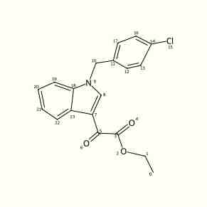 CCOC(=O)C(=O)c1cn(Cc2ccc(Cl)cc2)c2ccccc12